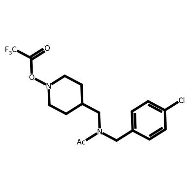 CC(=O)N(Cc1ccc(Cl)cc1)CC1CCN(OC(=O)C(F)(F)F)CC1